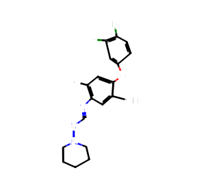 Cc1cc(Oc2ccc(Br)c(F)c2)c(C)cc1/N=C/NN1CCCCC1